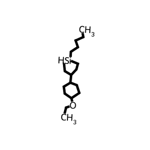 CCCCC[SiH]1CCC(C2CCC(OCC)CC2)CC1